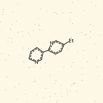 CCc1ccc(-c2cccnc2)nc1